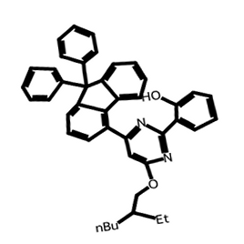 CCCCC(CC)COc1cc(-c2cccc3c2-c2ccccc2C3(c2ccccc2)c2ccccc2)nc(-c2ccccc2O)n1